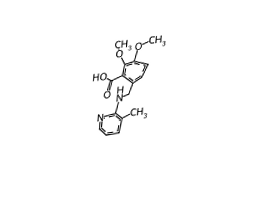 COc1ccc(CNc2ncccc2C)c(C(=O)O)c1OC